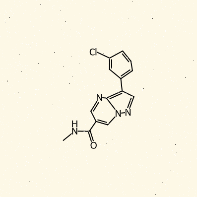 CNC(=O)c1cnc2c(-c3cccc(Cl)c3)cnn2c1